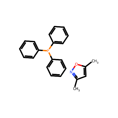 Cc1cc(C)on1.c1ccc(P(c2ccccc2)c2ccccc2)cc1